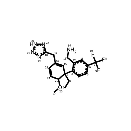 CCC1(c2ccc(C(F)(F)F)cc2CN)C=C(Cc2nn[nH]n2)C=CC1OC